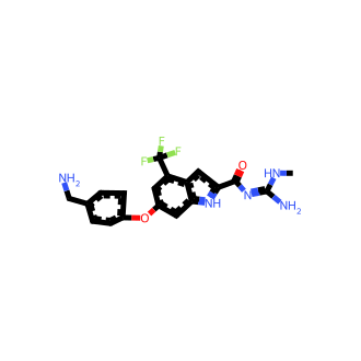 CNC(N)=NC(=O)c1cc2c(C(F)(F)F)cc(Oc3ccc(CN)cc3)cc2[nH]1